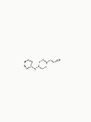 OCCC1CCC(Nc2ncccn2)CC1